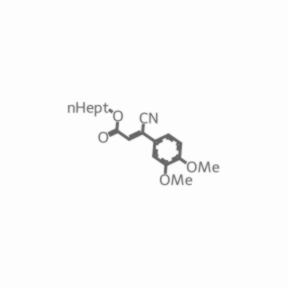 CCCCCCCOC(=O)C=C(C#N)c1ccc(OC)c(OC)c1